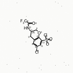 O=C(N[C@H]1COc2c(cc(Cl)cc2S(=O)(=O)Cl)C1)C(F)(F)F